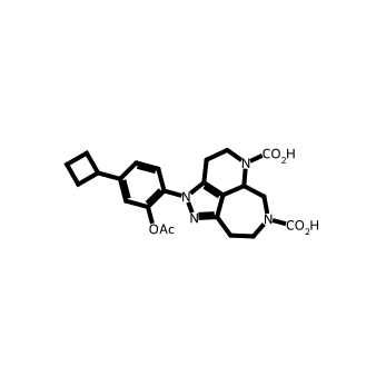 CC(=O)Oc1cc(C2CCC2)ccc1-n1nc2c3c1CCN(C(=O)O)C3CN(C(=O)O)CC2